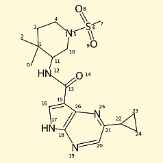 CC1(C)CCN(S(C)(=O)=O)CC1NC(=O)c1c[nH]c2ncc(C3CC3)nc12